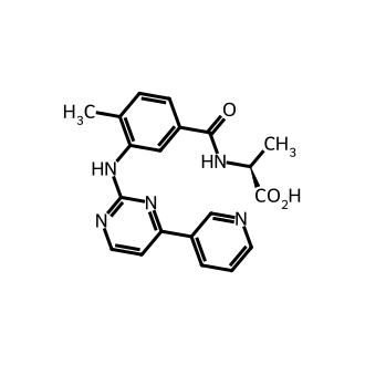 Cc1ccc(C(=O)N[C@@H](C)C(=O)O)cc1Nc1nccc(-c2cccnc2)n1